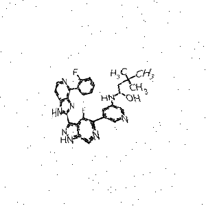 CC(C)(C)CC(O)Nc1cncc(-c2ncc3[nH]nc(-c4nc5c(-c6ccccc6F)nccc5[nH]4)c3c2F)c1